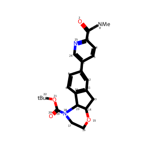 CNC(=O)c1ccc(-c2ccc3c(c2)CC2OCCN(C(=O)OC(C)(C)C)C32)cn1